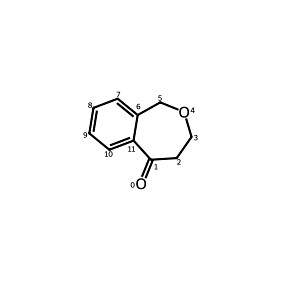 O=C1CCOCc2ccccc21